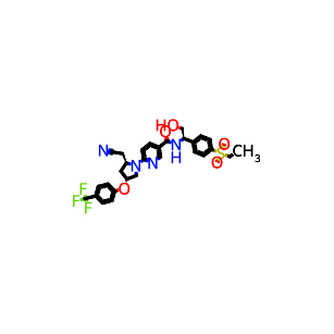 CCS(=O)(=O)c1ccc([C@H](CO)NC(=O)c2ccc(N3C[C@H](Oc4ccc(C(F)(F)F)cc4)C[C@H]3CC#N)nc2)cc1